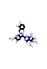 Cc1nc2c(cc1F)c(-c1nc(I)c3c(n1)NC(=O)C3(C)C)nn2Cc1c(F)ccc(F)c1F